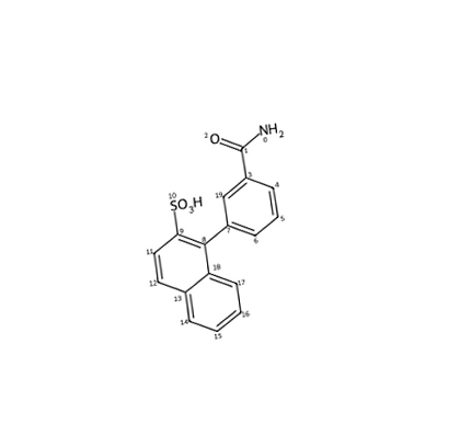 NC(=O)c1cccc(-c2c(S(=O)(=O)O)ccc3ccccc23)c1